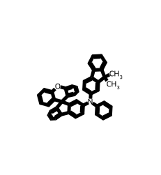 CC1(C)c2ccccc2-c2ccc(N(c3ccccc3)c3ccc4c(c3)C3(c5ccccc5Oc5ccccc53)c3ccccc3-4)cc21